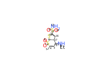 CCN[C@H]1C=C(C)S(=O)(=O)C2SC(S(N)(=O)=O)=CC21